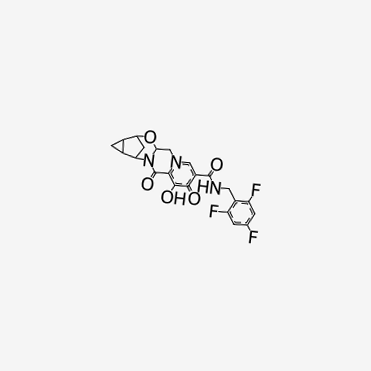 O=C(NCc1c(F)cc(F)cc1F)c1cn2c(c(O)c1=O)C(=O)N1C(C2)OC2CC1C1CC21